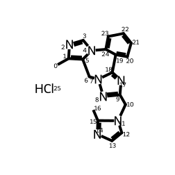 Cc1ncn2c1Cn1nc(Cn3ccnc3C)nc1-c1ccccc1-2.Cl